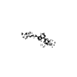 CC1(C)OB(c2ccnc3c2cnn3COCC[Si](C)(C)C)OC1(C)C